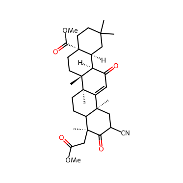 COC(=O)C[C@]1(C)C(=O)C(C#N)C[C@]2(C)C3=CC(=O)[C@@H]4[C@@H]5CC(C)(C)CC[C@]5(C(=O)OC)CC[C@@]4(C)[C@]3(C)CCC12